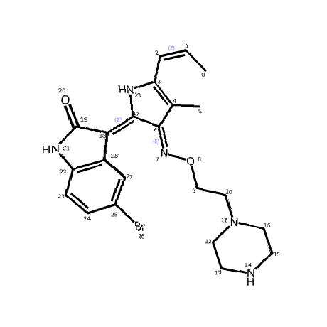 C/C=C\C1=C(C)C(=N\OCCN2CCNCC2)/C(=C2/C(=O)Nc3ccc(Br)cc32)N1